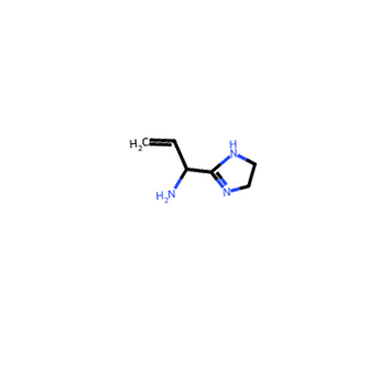 C=CC(N)C1=NCCN1